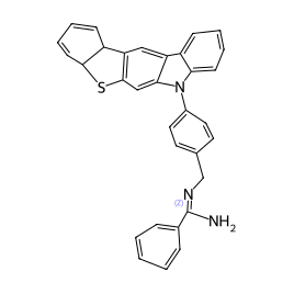 N/C(=N\Cc1ccc(-n2c3ccccc3c3cc4c(cc32)SC2C=CC=CC42)cc1)c1ccccc1